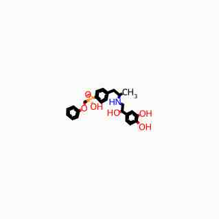 CC(Cc1ccc(P(=O)(O)COc2ccccc2)cc1)NCC(O)c1ccc(O)c(O)c1